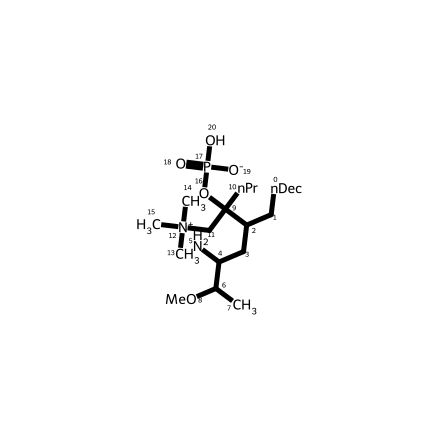 CCCCCCCCCCCC(CC(N)C(C)OC)C(CCC)(C[N+](C)(C)C)OP(=O)([O-])O